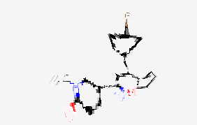 Cn1cc(/C(CC(c2ccc(Br)cc2)C2CCC2)=N/O)ccc1=O